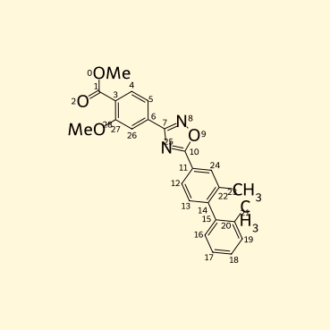 COC(=O)c1ccc(-c2noc(-c3ccc(-c4ccccc4C)c(C)c3)n2)cc1OC